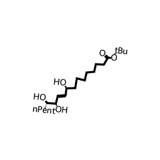 CCCCC[C@H](O)[C@@H](O)/C=C/[C@@H](O)CCCCCCCC(=O)OC(C)(C)C